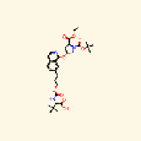 CCOC(=O)[C@@H]1C[C@@H](Oc2nccc3ccc(CCCOC(=O)N[C@H](C(=O)O)C(C)(C)C)cc23)CN1C(=O)OC(C)(C)C